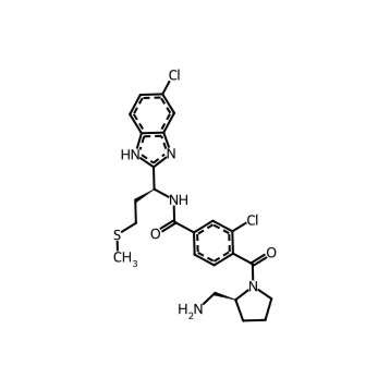 CSCC[C@H](NC(=O)c1ccc(C(=O)N2CCC[C@H]2CN)c(Cl)c1)c1nc2cc(Cl)ccc2[nH]1